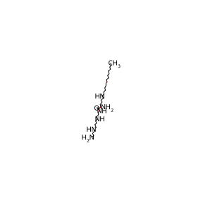 CCCCCCCCCCCCCCCCNCCCCC(N)C(=O)NCCCNCCCCNCCCN